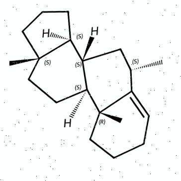 C[C@H]1C[C@H]2[C@@H]3CCC[C@@]3(C)CC[C@@H]2[C@@]2(C)CCCC=C12